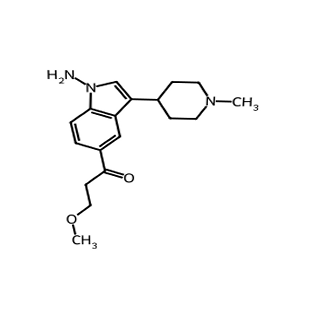 COCCC(=O)c1ccc2c(c1)c(C1CCN(C)CC1)cn2N